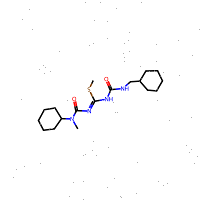 CSC(=NC(=O)N(C)C1CCCCC1)NC(=O)NCC1CCCCC1